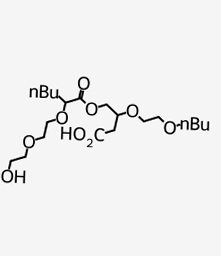 CCCCOCCOC(COC(=O)C(CCCC)OCCOCCO)CC(=O)O